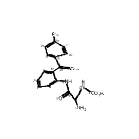 NC(NC(=O)O)C(=O)Nc1ccccc1C(=O)c1ccc(F)cc1